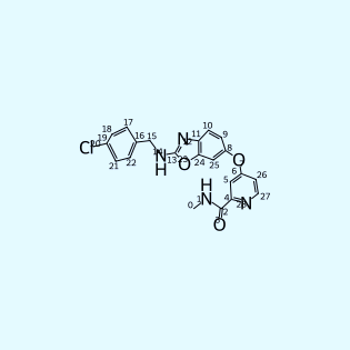 CNC(=O)c1cc(Oc2ccc3nc(NCc4ccc(Cl)cc4)oc3c2)ccn1